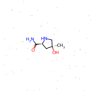 C[C@@]1(O)CN[C@H](C(N)=O)C1